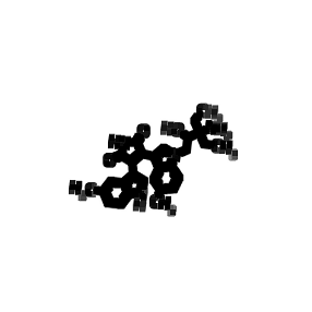 CCC(N)(CC)C(O)Cn1cc(C2=C(c3c[nH]c4ccc(C)cc34)C(=O)NC2=O)c2cc(C)ccc21